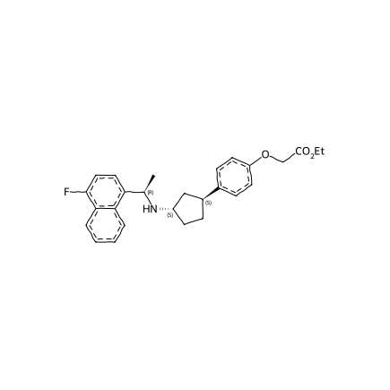 CCOC(=O)COc1ccc([C@H]2CC[C@H](N[C@H](C)c3ccc(F)c4ccccc34)C2)cc1